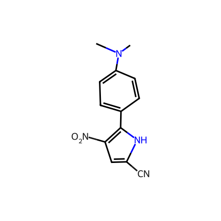 CN(C)c1ccc(-c2[nH]c(C#N)cc2[N+](=O)[O-])cc1